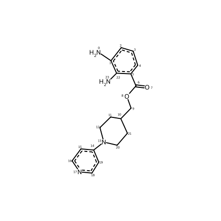 Nc1cccc(C(=O)OCC2CCN(c3ccncc3)CC2)c1N